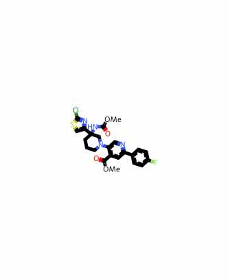 COC(=O)NC1(c2csc(Cl)n2)CCCN(c2cnc(-c3ccc(F)cc3)cc2C(=O)OC)C1